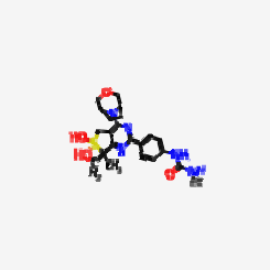 CCNC(=O)Nc1ccc(-c2nc(N3C4CCC3COC4)c3c(n2)C(C)(C)S(O)(O)C3)cc1